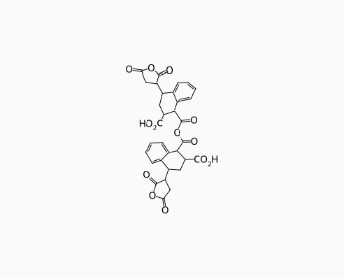 O=C1CC(C2CC(C(=O)O)C(C(=O)OC(=O)C3c4ccccc4C(C4CC(=O)OC4=O)CC3C(=O)O)c3ccccc32)C(=O)O1